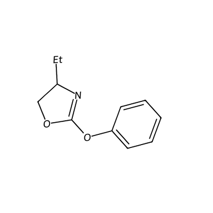 CCC1COC(Oc2ccccc2)=N1